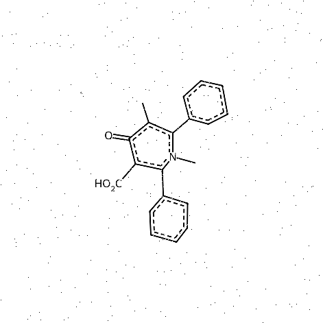 Cc1c(-c2ccccc2)n(C)c(-c2ccccc2)c(C(=O)O)c1=O